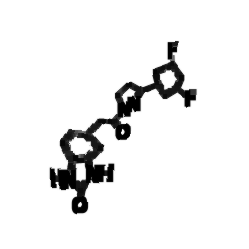 O=C(Cc1ccc2[nH]c(=O)[nH]c2c1)N1CCC(c2cc(F)cc(F)c2)=N1